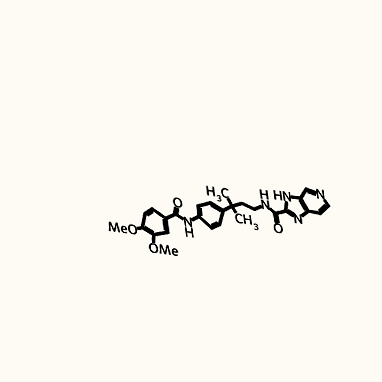 COc1ccc(C(=O)Nc2ccc(C(C)(C)CCNC(=O)c3nc4ccncc4[nH]3)cc2)cc1OC